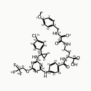 COc1ccc(CNC(=O)C(=O)NCC[C@H](NC(=O)c2ccc(Nc3nc(NC4(c5ccc(Cl)cc5)CC4)nc(OCC(F)(F)F)n3)cc2)C(=O)O)cc1